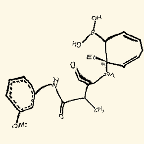 CC[C@]1(NC(=O)C(C)C(=O)Nc2cccc(OC)c2)C=CC=CC1B(O)O